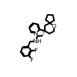 Fc1cccc(CNCC[C@@]2(c3ccccn3)CCOC3(CCCC3)C2)c1F